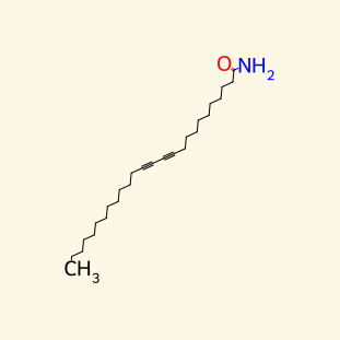 CCCCCCCCCCCCC#CC#CCCCCCCCCCC(N)=O